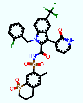 Cc1cc2c(cc1S(=O)(=O)NC(=O)c1c(-c3ccc[nH]c3=O)c3cc(C(F)(F)F)ccc3n1Cc1ccccc1F)S(=O)(=O)CCC2